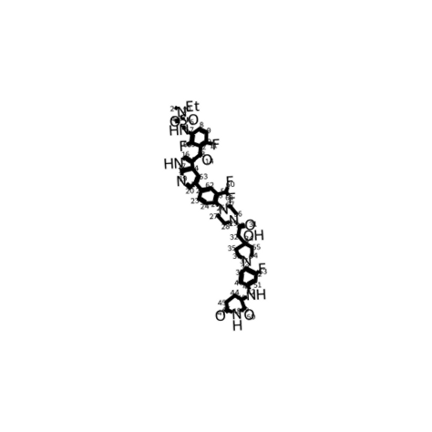 CCN(C)S(=O)(=O)Nc1ccc(F)c(C(=O)c2c[nH]c3ncc(-c4ccc(N5CCN(C(=O)CC6(O)CCN(c7ccc(NC8CCC(=O)NC8=O)cc7F)CC6)CC5)c(C(F)F)c4)cc23)c1F